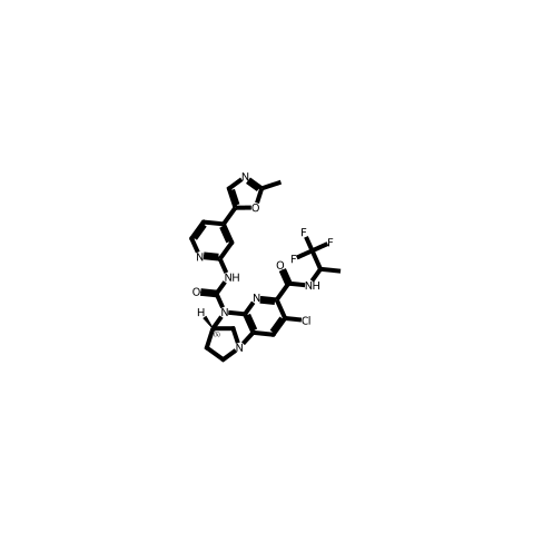 Cc1ncc(-c2ccnc(NC(=O)N3c4nc(C(=O)NC(C)C(F)(F)F)c(Cl)cc4N4CC[C@H]3C4)c2)o1